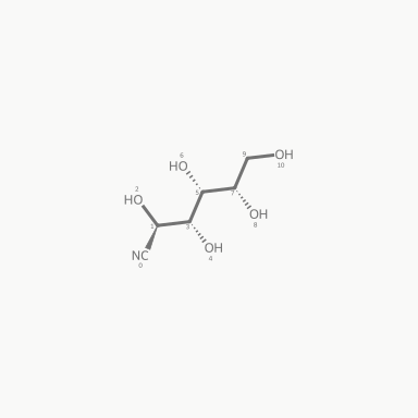 N#C[C@@H](O)[C@@H](O)[C@H](O)[C@@H](O)CO